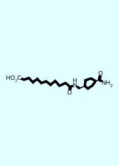 NC(=O)[C@H]1CC[C@@H](CNC(=O)CCCCCCCCCCC(=O)O)CC1